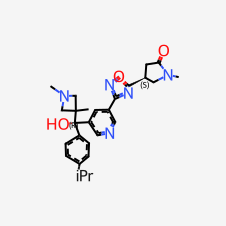 CC(C)c1ccc([C@](O)(c2cncc(-c3noc([C@H]4CC(=O)N(C)C4)n3)c2)C2(C)CN(C)C2)cc1